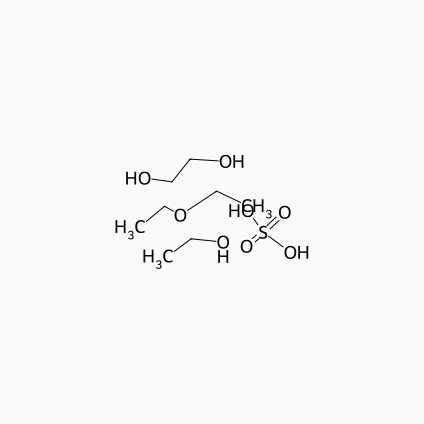 CCO.CCOCC.O=S(=O)(O)O.OCCO